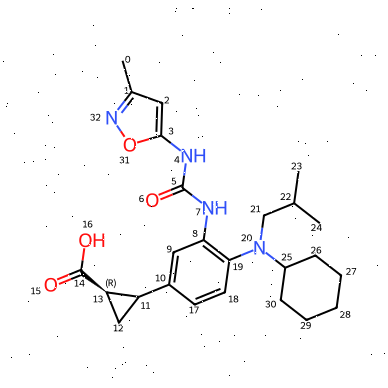 Cc1cc(NC(=O)Nc2cc(C3C[C@H]3C(=O)O)ccc2N(CC(C)C)C2CCCCC2)on1